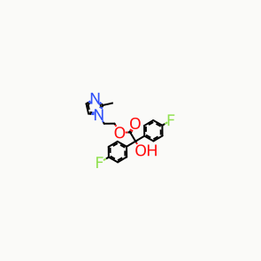 Cc1nccn1CCOC(=O)C(O)(c1ccc(F)cc1)c1ccc(F)cc1